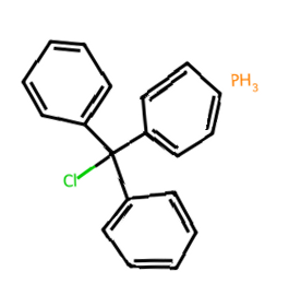 ClC(c1ccccc1)(c1ccccc1)c1ccccc1.P